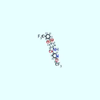 O=C(N[C@H]1CC[C@H](S(=O)(=O)c2cccc(C(F)(F)F)c2)CC1)c1ccc(OCC(F)(F)F)nc1